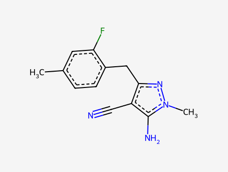 Cc1ccc(Cc2nn(C)c(N)c2C#N)c(F)c1